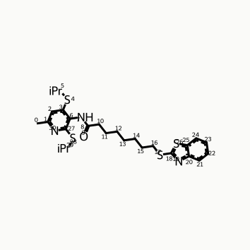 Cc1cc(SC(C)C)c(NC(=O)CCCCCCCSc2nc3ccccc3s2)c(SC(C)C)n1